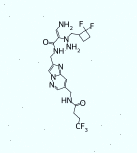 N/C=C(/C(=O)NCc1cn2ncc(CNC(=O)CCC(F)(F)F)cc2n1)N(N)CC1CCC1(F)F